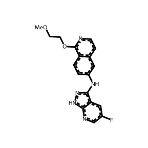 COCCOc1nccc2cc(Nc3n[nH]c4ncc(F)cc34)ccc12